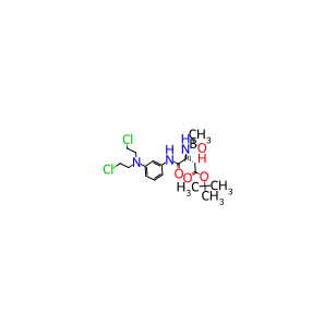 CB(O)N[C@H](CC(=O)OC(C)(C)C)C(=O)Nc1cccc(N(CCCl)CCCl)c1